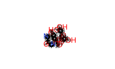 CC(C)(C(=O)c1cccnc1)c1cccnc1.COc1ccc2cc(CCC(C)=O)ccc2c1.O=c1cc(-c2ccc(O)c(O)c2)oc2cc(O)cc(O)c12